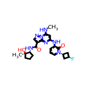 CNc1cc(Nc2cccn([C@H]3C[C@H](F)C3)c2=O)nc2c(C(=O)N[C@@H]3CCC[C@@]3(C)O)cnn12